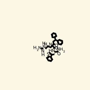 N=C(N)NCCC[C@](N)(C(=O)CC(c1ccccc1)c1ccccc1)C(=O)N[C@@H](Cc1csc2ccccc12)C(N)=O